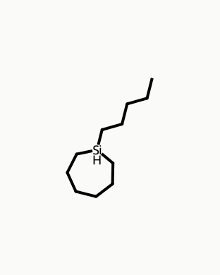 CCCCC[SiH]1CCCCCC1